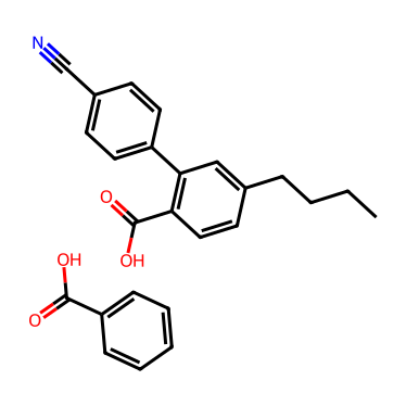 CCCCc1ccc(C(=O)O)c(-c2ccc(C#N)cc2)c1.O=C(O)c1ccccc1